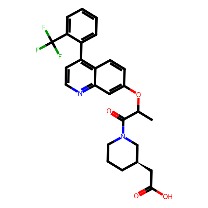 CC(Oc1ccc2c(-c3ccccc3C(F)(F)F)ccnc2c1)C(=O)N1CCC[C@H](CC(=O)O)C1